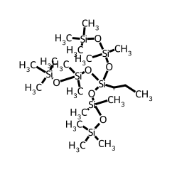 CC[CH][Si](O[Si](C)(C)O[Si](C)(C)C)(O[Si](C)(C)O[Si](C)(C)C)O[Si](C)(C)O[Si](C)(C)C